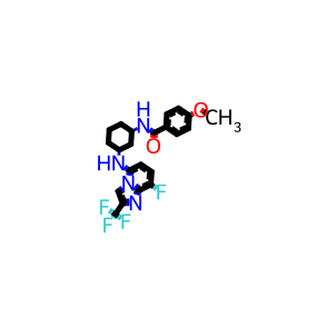 COc1ccc(C(=O)N[C@@H]2CCC[C@H](Nc3ccc(F)c4nc(C(F)(F)F)cn34)C2)cc1